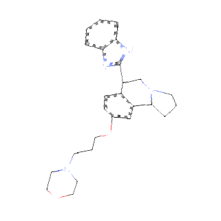 c1ccc2[nH]c(C3CN4CCCC4c4cc(OCCCN5CCOCC5)ccc43)nc2c1